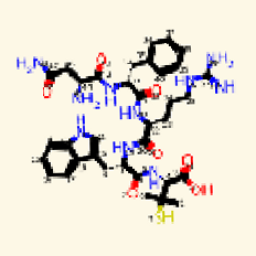 CC(C)(S)[C@H](NC(=O)[C@H](Cc1c[nH]c2ccccc12)NC(=O)[C@H](CCCNC(=N)N)NC(=O)[C@@H](Cc1ccccc1)NC(=O)[C@@H](N)CC(N)=O)C(=O)O